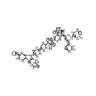 O=C(NS(=O)(=O)c1ccc(N[C@H](CCN2CCOCC2)CSc2ccccc2)c(S(=O)(=O)C(F)(F)F)c1)c1ccc(N2CCN(CC3=C(c4ccc(Cl)cc4)CCC4(C3)CC4(F)F)CC2)cc1